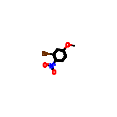 COc1ccc([N+](=O)[O-])c(Br)c1